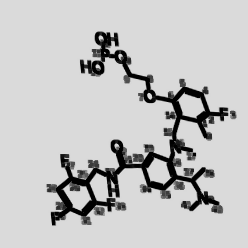 Cc1c(F)ccc(OCCOP(O)O)c1CN(C)c1cc(C(=O)NCc2c(F)cc(F)cc2F)ccc1C(C)N(C)C